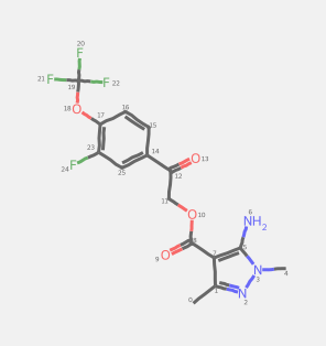 Cc1nn(C)c(N)c1C(=O)OCC(=O)c1ccc(OC(F)(F)F)c(F)c1